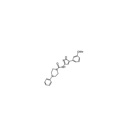 COc1cccc(-c2cc(NC(=O)N3CCN(c4ccccc4)CC3)n[nH]2)c1